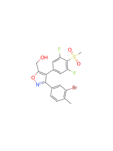 Cc1ccc(-c2noc(CO)c2-c2cc(F)c(S(C)(=O)=O)c(F)c2)cc1Br